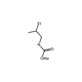 CCC(C)C[N]C(=O)OC